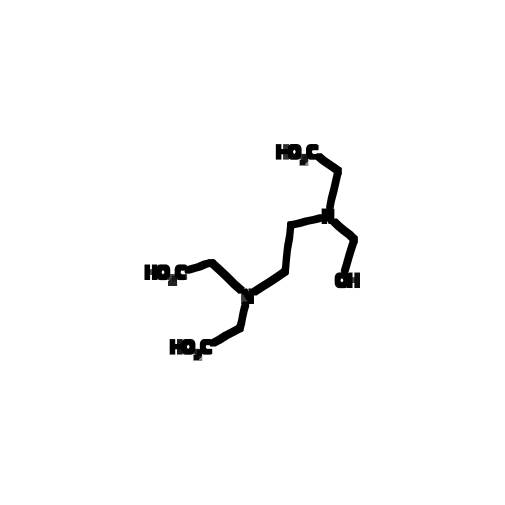 O=C(O)CN(CO)CCN(CC(=O)O)CC(=O)O